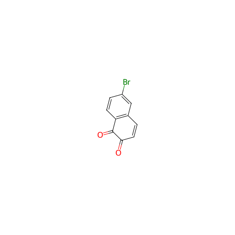 O=C1C=Cc2cc(Br)ccc2C1=O